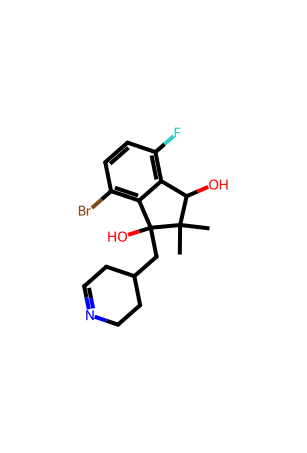 CC1(C)C(O)c2c(F)ccc(Br)c2C1(O)CC1CC=NCC1